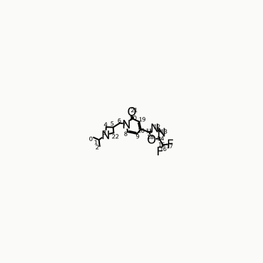 CC(C)N1CC(Cn2ccc(-c3nnc(C(F)F)o3)cc2=O)C1